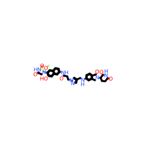 O=C1CCC(N2Cc3cc(NCc4cnn(CCC(=O)Nc5ccc6c(F)c(N7CC(=O)NS7(=O)=O)c(O)cc6c5)c4)ccc3C2=O)C(=O)N1